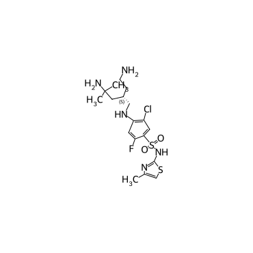 Cc1csc(NS(=O)(=O)c2cc(Cl)c(NC[C@@H](CCN)CC(C)(C)N)cc2F)n1